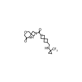 O=C1COCC2(CN(C(=O)N3CC4(CC(CNC5(C(F)(F)F)CC5)C4)C3)C2)N1